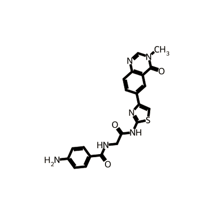 Cn1cnc2ccc(-c3csc(NC(=O)CNC(=O)c4ccc(N)cc4)n3)cc2c1=O